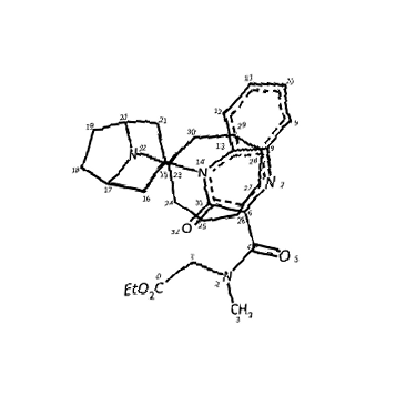 CCOC(=O)CN(C)C(=O)c1nc2ccccc2n(C2CC3CCC(C2)N3C2CCCCCCC2)c1=O